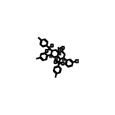 Cc1ccc([C@@H]2C[C@@H]3C(S(=O)(=O)c4ccc(C)cc4)[C@H](c4cccc(Cl)c4)CC(=O)[C@@H]3CC2S(=O)(=O)c2ccc(C)cc2)cc1